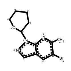 Cc1nc2c(cnn2C2CCCCO2)cc1Br